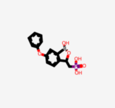 O=P(O)(O)CC1OB(O)c2cc(Oc3ccccc3)ccc21